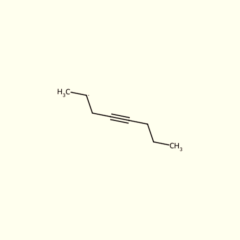 C[CH]CC#CCCC